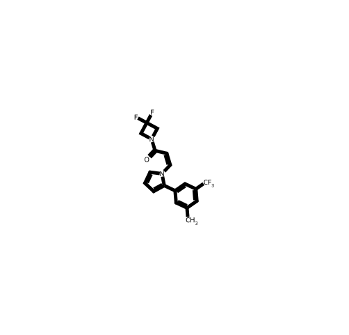 Cc1cc(-c2cccn2/C=C\C(=O)N2CC(F)(F)C2)cc(C(F)(F)F)c1